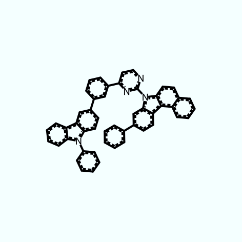 c1ccc(-c2ccc3c4c5ccccc5ccc4n(-c4nccc(-c5cccc(-c6ccc7c(c6)c6ccccc6n7-c6ccccc6)c5)n4)c3c2)cc1